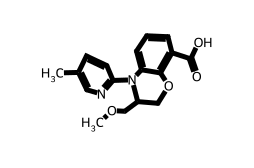 COCC1COc2c(C(=O)O)cccc2N1c1ccc(C)cn1